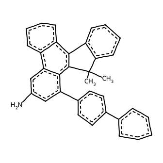 CC1(C)c2ccccc2-c2c1c1c(-c3ccc(-c4ccccc4)cc3)cc(N)cc1c1ccccc21